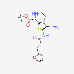 CC(C)(C)OC(=O)C1NCCc2c1sc(NC(=O)CCc1ccco1)c2C#N